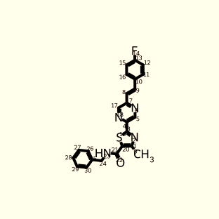 Cc1nc(-c2cnc(/C=C/c3ccc(F)cc3)cn2)sc1C(=O)NCc1ccccc1